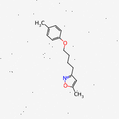 Cc1ccc(OCCCCc2cc(C)on2)cc1